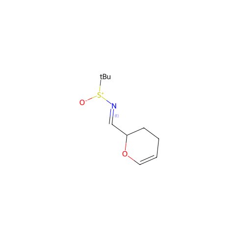 CC(C)(C)[S+]([O-])/N=C/C1CCC=CO1